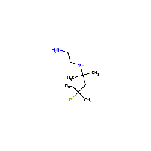 CC(C)(S)CC(C)(C)NCCN